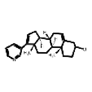 C[C@]12CCC(Cl)CC1=CC[C@@H]1[C@@H]2CC[C@]2(C)C(c3cccnc3)=CC[C@@H]12